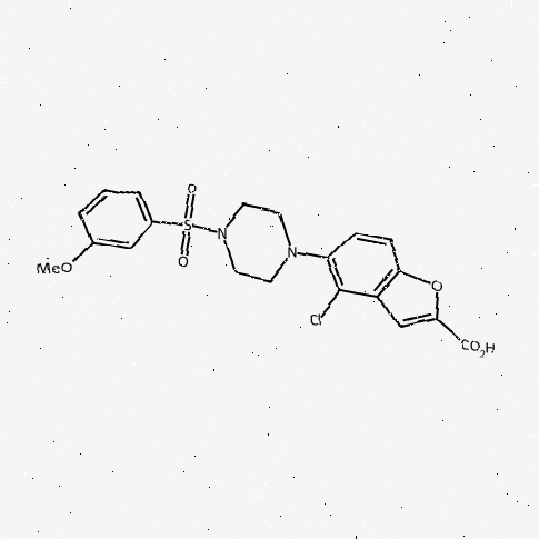 COc1cccc(S(=O)(=O)N2CCN(c3ccc4oc(C(=O)O)cc4c3Cl)CC2)c1